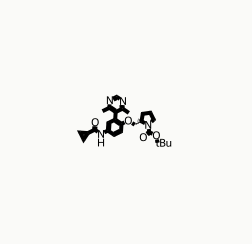 Cc1ncnc(C)c1-c1cc(NC(=O)C2CC2)ccc1OC[C@@H]1CCCN1C(=O)OC(C)(C)C